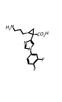 NCCC[C@H]1C[C@]1(C(=O)O)c1cn(-c2ccc(F)c(F)c2)cn1